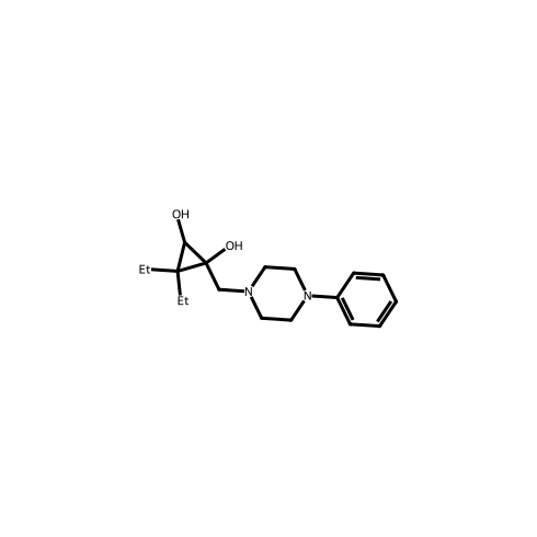 CCC1(CC)C(O)C1(O)CN1CCN(c2ccccc2)CC1